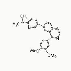 COc1ccc(-c2ncnc3ccc(-c4ccc(N(C)C)nc4)cc23)cc1OC